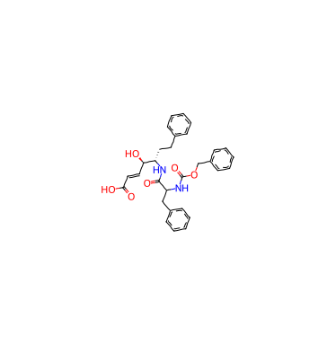 O=C(O)/C=C/[C@@H](O)[C@H](CCc1ccccc1)NC(=O)C(Cc1ccccc1)NC(=O)OCc1ccccc1